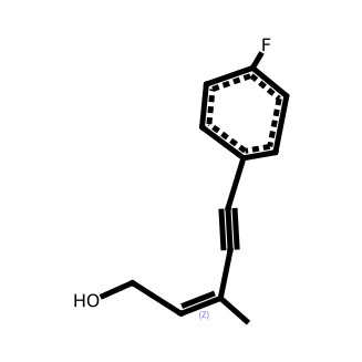 C/C(C#Cc1ccc(F)cc1)=C/CO